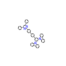 c1ccc(-c2cc(-c3ccccc3)nc(-c3ccc(-c4ccc(-c5cc(-n6c7ccccc7c7ccccc76)cc(-n6c7ccccc7c7ccccc76)c5)cc4)cc3)n2)cc1